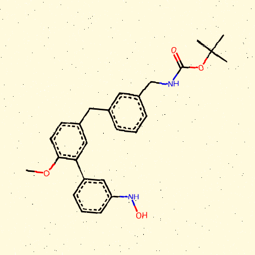 COc1ccc(Cc2cccc(CNC(=O)OC(C)(C)C)c2)cc1-c1cccc(NO)c1